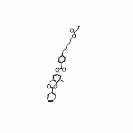 C=CC(=O)OCCCCCc1ccc(C(=O)Oc2cc(C)c(OC(=O)C3=CCC#CC=C3)c(C)c2)cc1